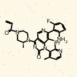 C=CC(=O)N1CCN(c2nc(=O)n(-c3c(C)ccnc3C(C)C)c3c(C)c(-c4c(N)cccc4F)ncc23)[C@@H](C)C1